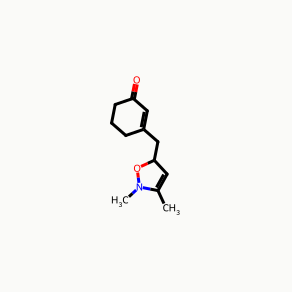 CC1=CC(CC2=CC(=O)CCC2)ON1C